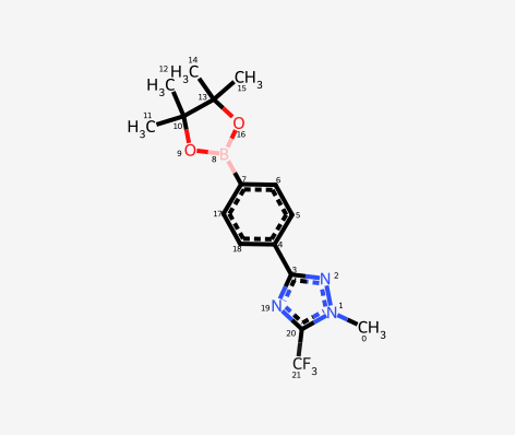 Cn1nc(-c2ccc(B3OC(C)(C)C(C)(C)O3)cc2)nc1C(F)(F)F